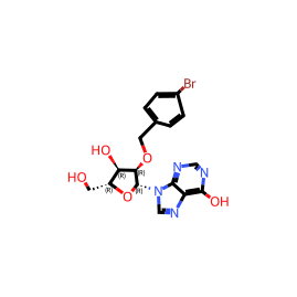 OC[C@H]1O[C@@H](n2cnc3c(O)ncnc32)[C@H](OCc2ccc(Br)cc2)[C@@H]1O